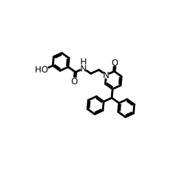 O=C(NCCn1cc(C(c2ccccc2)c2ccccc2)ccc1=O)c1cccc(O)c1